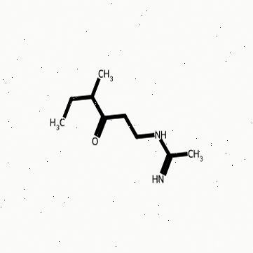 CCC(C)C(=O)CCNC(C)=N